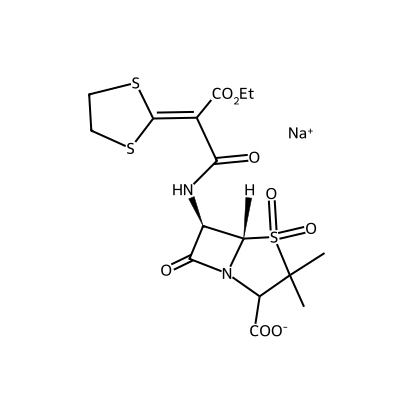 CCOC(=O)C(C(=O)N[C@@H]1C(=O)N2C(C(=O)[O-])C(C)(C)S(=O)(=O)[C@@H]12)=C1SCCS1.[Na+]